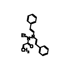 C=CC(=O)N(CC)N(C=Cc1ccccc1)C=Cc1ccccc1